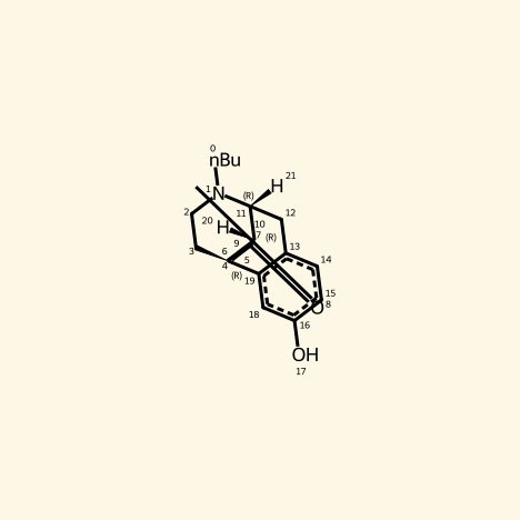 CCCCN1CC[C@]23CCC(=O)C[C@H]2[C@H]1Cc1ccc(O)cc13